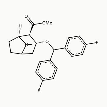 COC(=O)[C@H]1[C@H](OC(c2ccc(F)cc2)c2ccc(F)cc2)CC2CC[C@@H]1N2C